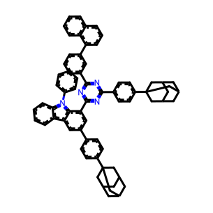 c1ccc(-n2c3ccccc3c3cc(-c4ccc(C56CC7CC(CC(C7)C5)C6)cc4)cc(-c4nc(-c5ccc(C67CC8CC(CC(C8)C6)C7)cc5)nc(-c5cccc(-c6cccc7ccccc67)c5)n4)c32)cc1